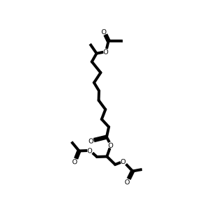 CC(=O)OCC(COC(C)=O)OC(=O)CCCCCCCCC(C)OC(C)=O